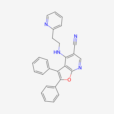 N#Cc1cnc2oc(-c3ccccc3)c(-c3ccccc3)c2c1NCCc1ccccn1